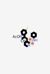 CC(=O)On1c(C)c(Cc2cccnc2S(=O)(=O)Nc2ccccc2)c2cc(F)ccc21